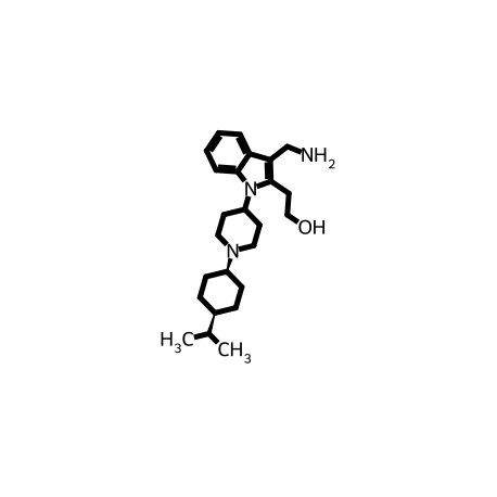 CC(C)[C@H]1CC[C@@H](N2CCC(n3c(CCO)c(CN)c4ccccc43)CC2)CC1